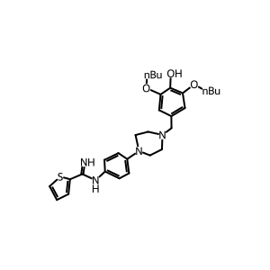 CCCCOc1cc(CN2CCN(c3ccc(NC(=N)c4cccs4)cc3)CC2)cc(OCCCC)c1O